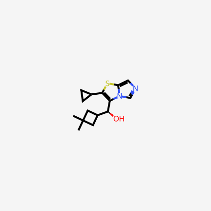 CC1(C)CC([C@H](O)c2c(C3CC3)sc3cncn23)C1